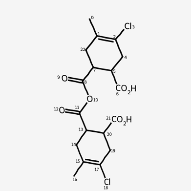 CC1=C(Cl)CC(C(=O)O)C(C(=O)OC(=O)C2CC(C)=C(Cl)CC2C(=O)O)C1